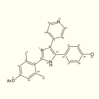 CC(=O)Oc1cc(C)c(-c2nc(-c3ccncc3)c(-c3ccc(Cl)cc3)[nH]2)c(C)c1